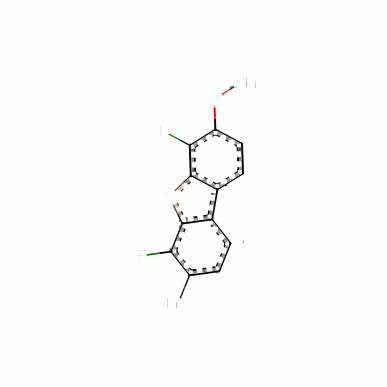 CCCOc1ccc2c(sc3c(F)c(CCC)ccc32)c1F